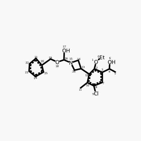 CCOc1c(C(C)O)cc(Cl)c(C)c1C1CN(C(O)OCc2ccccc2)C1